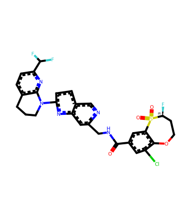 O=C(NCc1cc2nc(N3CCCc4ccc(C(F)F)nc43)ccc2cn1)c1cc(Cl)c2c(c1)S(=O)(=O)[C@@H](F)CCO2